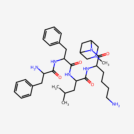 CC(C)CC(NC(=O)C(Cc1ccccc1)NC(=O)C(N)Cc1ccccc1)C(=O)NC(CCCCN)C(=O)N1C2CC1CN(C)C2